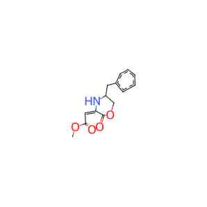 COC(=O)/C=C1/NC(Cc2ccccc2)COC1=O